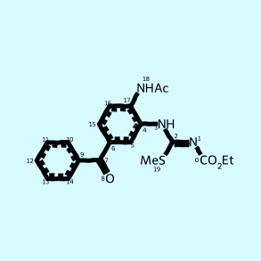 CCOC(=O)/N=C(/Nc1cc(C(=O)c2ccccc2)ccc1NC(C)=O)SC